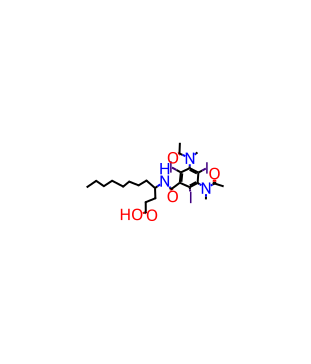 CCCCCCCCC(CCC(=O)O)NC(=O)c1c(I)c(N(C)C(C)=O)c(I)c(N(C)C(C)=O)c1I